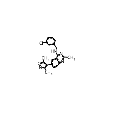 Cc1nc(NCc2cccc(Cl)c2)c2cc(-c3c(C)noc3C)ccc2n1